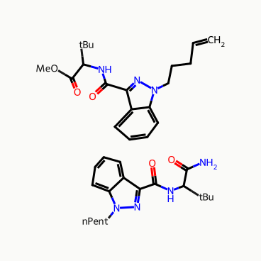 C=CCCCn1nc(C(=O)NC(C(=O)OC)C(C)(C)C)c2ccccc21.CCCCCn1nc(C(=O)NC(C(N)=O)C(C)(C)C)c2ccccc21